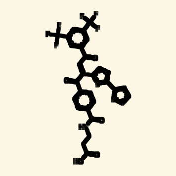 O=C(O)CCNC(=O)c1ccc(C(=O)C(=CC(=O)c2cc(C(F)(F)F)cc(C(F)(F)F)c2)c2ccc(-c3cccs3)s2)cc1